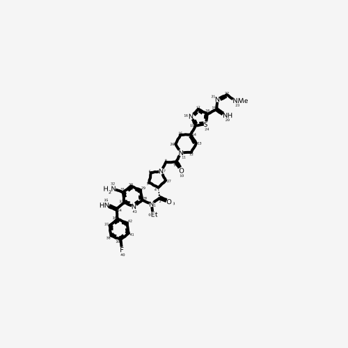 CCN(C(=O)[C@@H]1CCN(CC(=O)N2CC=C(c3ncc(C(=N)/N=C\NC)s3)CC2)C1)c1ccc(N)c(C(=N)c2ccc(F)cc2)n1